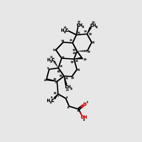 C[C@H](CCC(=O)O)[C@H]1CC[C@@]2(C)C3CCC4C(C)(C)[C@@H](C)CC[C@@]45C[C@@]35CC[C@]12C